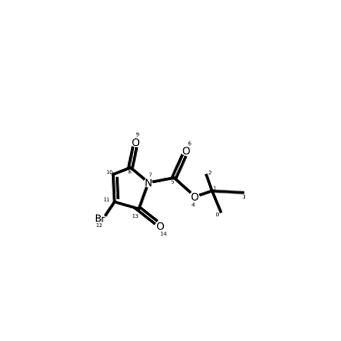 CC(C)(C)OC(=O)N1C(=O)C=C(Br)C1=O